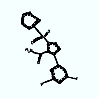 NC(=O)c1c(-c2cc(F)cc(F)c2)ccn1S(=O)(=O)c1ccccc1